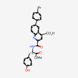 COC(=O)[C@H](Cc1ccc(O)cc1)NC(=O)c1cc(C(=O)O)c2cc(-c3ccc(C(C)C)cc3)ccc2n1